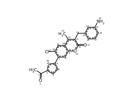 CC(=O)c1ccc(-c2cc3oc(=O)c(Cc4cccc(N)c4)c(C)c3cc2Cl)s1